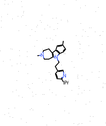 Cc1ccc2c(c1)c1c(n2CCc2ccc(C(C)C)nc2)CCN(C)CC1